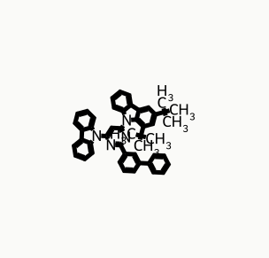 CC(C)(C)c1cc(C(C)(C)C)c2c(c1)c1ccccc1n2-c1cc(-n2c3ccccc3c3ccccc32)nc(-c2cccc(-c3ccccc3)c2)n1